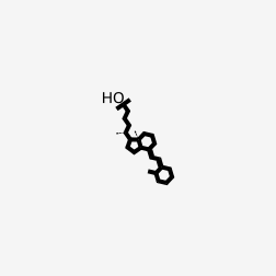 CC1CCCC/C1=C/C=C1\CCC[C@@]2(C)C1CCC2[C@H](C)CCCC(C)(C)O